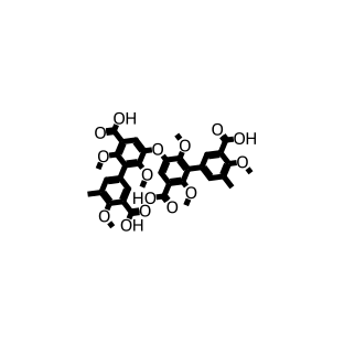 COc1c(C)cc(-c2c(OC)c(Oc3cc(C(=O)O)c(OC)c(-c4cc(C)c(OC)c(C(=O)O)c4)c3OC)cc(C(=O)O)c2OC)cc1C(=O)O